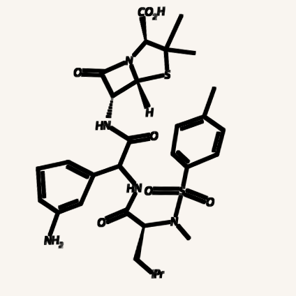 Cc1ccc(S(=O)(=O)N(C)[C@@H](CC(C)C)C(=O)NC(C(=O)N[C@@H]2C(=O)N3[C@@H]2SC(C)(C)[C@@H]3C(=O)O)c2cccc(N)c2)cc1